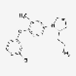 Cc1cc(N2C=CCC2CCN)ccc1Oc1cccc(Cl)c1